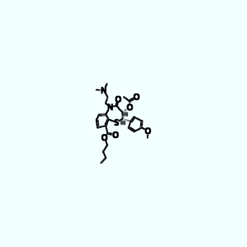 CCCCOC(=O)c1cccc2c1S[C@@H](c1ccc(OC)cc1)[C@@H](OC(C)=O)C(=O)N2CCN(C)C